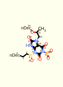 CCCCCCCCCCCC[S+]([O-])n1c(=O)n(P(=O)=O)c(=O)c2c1[nH]c(=O)n2CC(C)OCCCCCCCCCC